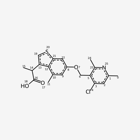 Cc1cc(Cl)c(COc2cc(C)c3c(C(C)C(=O)O)csc3c2)c(C)n1